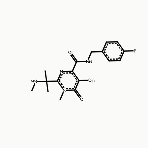 CNC(C)(C)c1nc(C(=O)NCc2ccc(F)cc2)c(O)c(=O)n1C